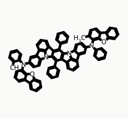 Cc1ccccc1N(c1ccc2c(c1)c1cccc3c4c(-c5ccccc5)c5c(c(-c6ccccc6)c4n2c13)c1cccc2c3cc(N(c4ccccc4)c4c(C)ccc6c4oc4ccccc46)ccc3n5c21)c1cccc2c1oc1ccccc12